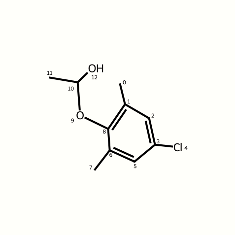 Cc1cc(Cl)cc(C)c1OC(C)O